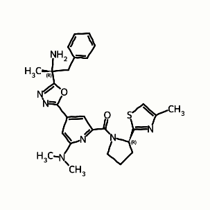 Cc1csc([C@H]2CCCN2C(=O)c2cc(-c3nnc([C@](C)(N)Cc4ccccc4)o3)cc(N(C)C)n2)n1